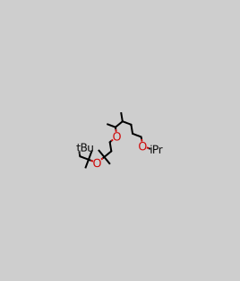 CC(C)OCCCC(C)C(C)OCCC(C)(C)OC(C)(C)CC(C)(C)C